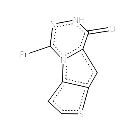 CC(C)c1n[nH]c(=O)c2cc3sccc3n12